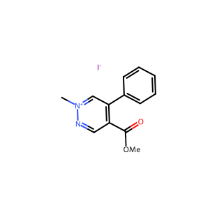 COC(=O)c1cn[n+](C)cc1-c1ccccc1.[I-]